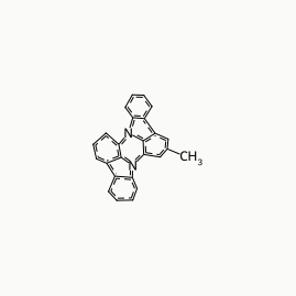 Cc1cc2c3ccccc3n3c4cccc5c6ccccc6n(c(c1)c23)c54